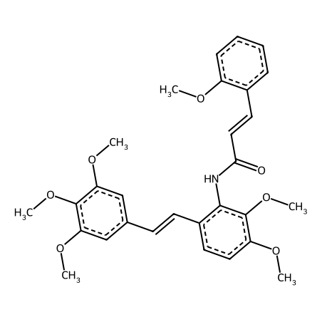 COc1ccccc1/C=C/C(=O)Nc1c(/C=C/c2cc(OC)c(OC)c(OC)c2)ccc(OC)c1OC